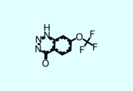 O=c1nn[nH]c2cc(OC(F)(F)F)ccc12